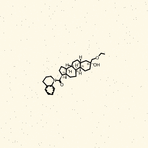 CCOC[C@@]1(O)CC[C@H]2[C@H](CC[C@@H]3[C@@H]2CC[C@]2(C)[C@@H](C(=O)N4CCCc5ccccc54)CC[C@@H]32)C1